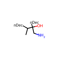 CCCCCCCCCCC(C)C(O)(CN)CCCCCCCCCC